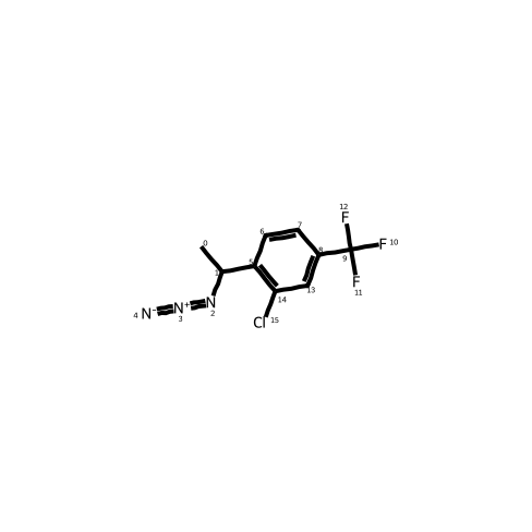 CC(N=[N+]=[N-])c1ccc(C(F)(F)F)cc1Cl